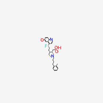 COc1ccc2nccc([C@@H](F)CC[C@@H]3CCN(CCCCc4ccccc4C)C[C@@H]3CC(=O)O)c2c1